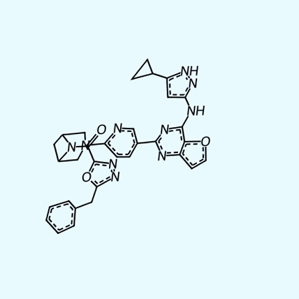 O=C(c1nnc(Cc2ccccc2)o1)N1C2CC1CN(c1ccc(-c3nc(Nc4cc(C5CC5)[nH]n4)c4occc4n3)cn1)C2